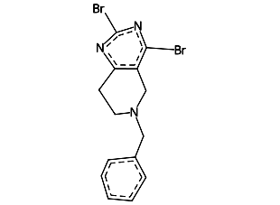 Brc1nc(Br)c2c(n1)CCN(Cc1ccccc1)C2